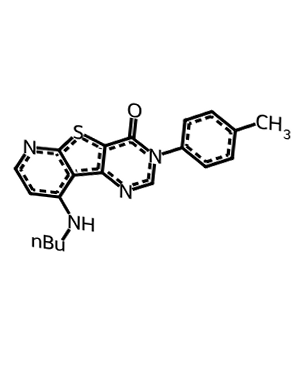 CCCCNc1ccnc2sc3c(=O)n(-c4ccc(C)cc4)cnc3c12